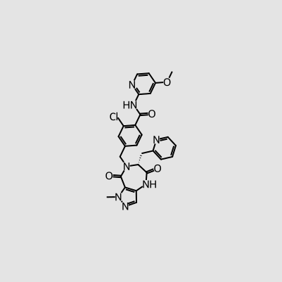 COc1ccnc(NC(=O)c2ccc(CN3C(=O)c4c(cnn4C)NC(=O)[C@H]3Cc3ccccn3)cc2Cl)c1